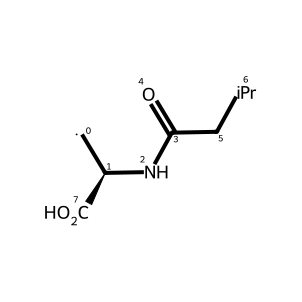 [CH2][C@@H](NC(=O)CC(C)C)C(=O)O